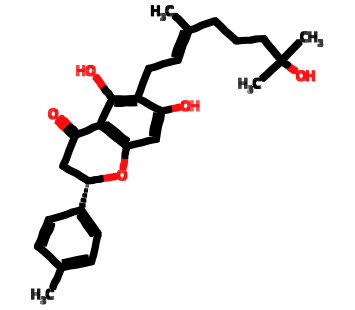 C/C(=C\Cc1c(O)cc2c(c1O)C(=O)C[C@@H](c1ccc(C)cc1)O2)CCCC(C)(C)O